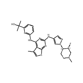 Cc1csc2nc(Nc3cnn([C@@H]4CCN(C)C[C@@H]4F)c3)nc(Nc3cccc(C(C)(C)O)n3)c12